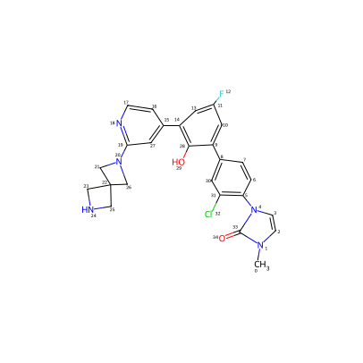 Cn1ccn(-c2ccc(-c3cc(F)cc(-c4ccnc(N5CC6(CNC6)C5)c4)c3O)cc2Cl)c1=O